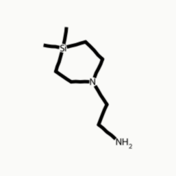 C[Si]1(C)CCN(CCN)CC1